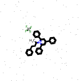 CC(CCc1ccccc1)[n+]1c(-c2ccccc2)cc(-c2ccccc2)cc1-c1ccccc1.F[B-](F)(F)F